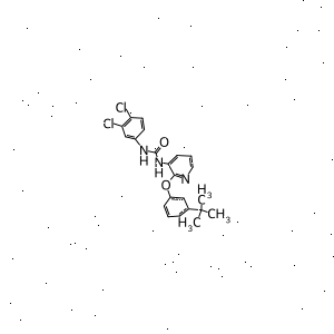 CC(C)(C)c1cccc(Oc2ncccc2NC(=O)Nc2ccc(Cl)c(Cl)c2)c1